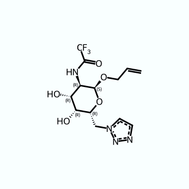 C=CCO[C@H]1O[C@H](Cn2ccnn2)[C@H](O)[C@H](O)[C@H]1NC(=O)C(F)(F)F